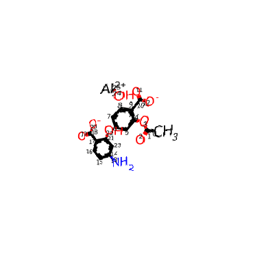 CC(=O)Oc1ccccc1C(=O)[O-].Nc1ccc(C(=O)[O-])c(O)c1.[OH][Al+2]